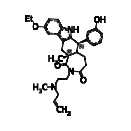 C=CCN(C)CCN1C(=O)CCC2[C@H](c3cccc(O)c3)c3[nH]c4ccc(OCC)cc4c3C[C@@]2(C)C1=O